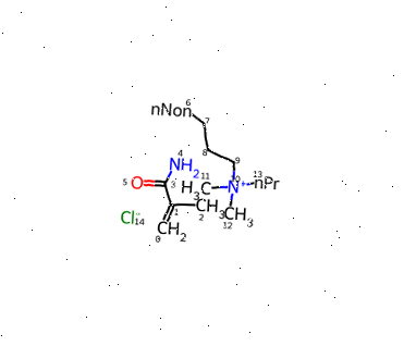 C=C(C)C(N)=O.CCCCCCCCCCCC[N+](C)(C)CCC.[Cl-]